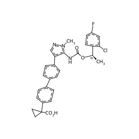 C[C@@H](OC(=O)Nc1c(-c2ccc(-c3ccc(C4(C(=O)O)CC4)cc3)cc2)cnn1C)c1ccc(F)cc1Cl